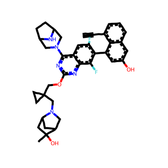 C#Cc1cccc2cc(O)cc(-c3c(F)cc4c(N5CC6CCC(C5)N6)nc(OCC5(CN6CC7CC6CC7(C)O)CC5)nc4c3F)c12